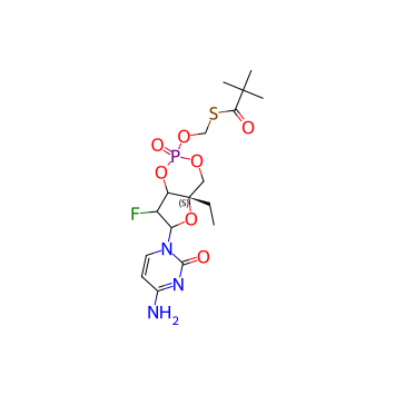 CC[C@]12COP(=O)(OCSC(=O)C(C)(C)C)OC1C(F)C(n1ccc(N)nc1=O)O2